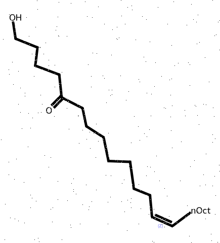 CCCCCCCC/C=C\CCCCCCCC(=O)CC[CH]CO